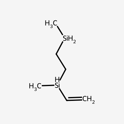 C=C[SiH](C)CC[SiH2]C